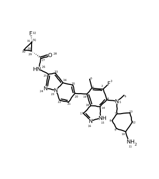 Cc1c(F)c(N(C)C2CCC(N)CC2)c2[nH]ncc2c1-c1ccn2nc(NC(=O)[C@@H]3C[C@@H]3F)cc2c1